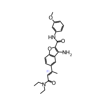 CCN(CC)C(=O)/C=C(\C)c1ccc2oc(C(=O)Nc3cccc(OC)c3)c(N)c2c1